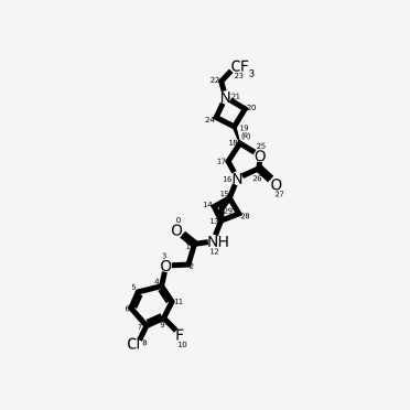 O=C(COc1ccc(Cl)c(F)c1)NC12CC(N3C[C@@H](C4CN(CC(F)(F)F)C4)OC3=O)(C1)C2